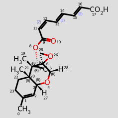 CC1=C[C@H]2O[C@@H]3C[C@@H](OC(=O)\C=C/C=C/C=C/C(=O)O)[C@](C)([C@@]2(C)CC1)[C@]31CO1